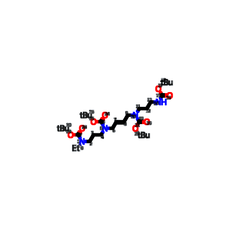 CCN(CCCN(CC=CCN(CCCNC(=O)OC(C)(C)C)C(=O)OC(C)(C)C)C(=O)OC(C)(C)C)C(=O)OC(C)(C)C